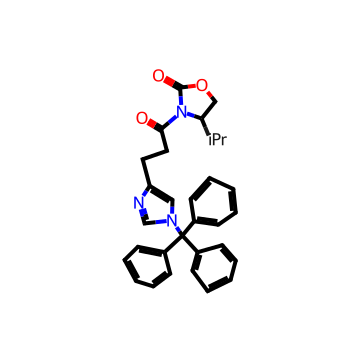 CC(C)C1COC(=O)N1C(=O)CCc1cn(C(c2ccccc2)(c2ccccc2)c2ccccc2)cn1